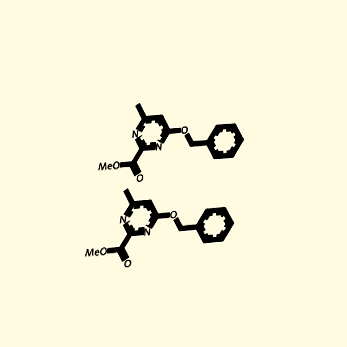 COC(=O)c1nc(C)cc(OCc2ccccc2)n1.COC(=O)c1nc(C)cc(OCc2ccccc2)n1